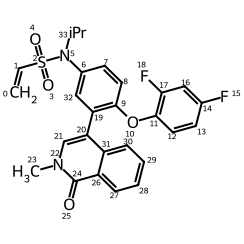 C=CS(=O)(=O)N(c1ccc(Oc2ccc(F)cc2F)c(-c2cn(C)c(=O)c3ccccc23)c1)C(C)C